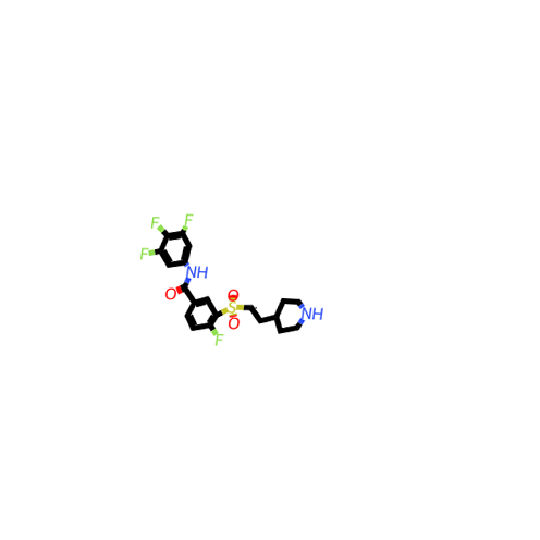 O=C(Nc1cc(F)c(F)c(F)c1)c1ccc(F)c(S(=O)(=O)[CH]CC2CCNCC2)c1